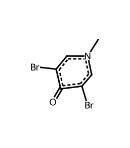 Cn1cc(Br)c(=O)c(Br)c1